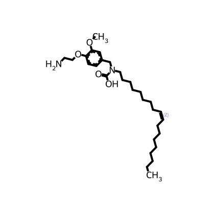 CCCCCCCC/C=C\CCCCCCCCN(Cc1ccc(OCCN)c(OC)c1)C(=O)O